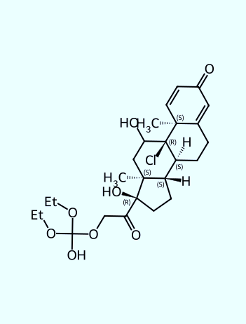 CCOC(O)(OCC)OCC(=O)[C@@]1(O)CC[C@H]2[C@@H]3CCC4=CC(=O)C=C[C@]4(C)[C@@]3(Cl)C(O)C[C@@]21C